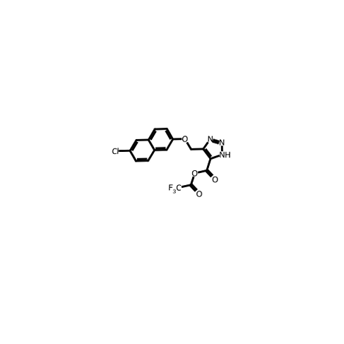 O=C(OC(=O)C(F)(F)F)c1[nH]nnc1COc1ccc2cc(Cl)ccc2c1